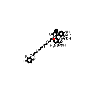 Nc1ccc2c(c1S(=O)(=O)O)Oc1c(ccc(N)c1S(=O)(=O)O)C21c2ccccc2C(=O)N1OCCOCCOCCOCCC(=O)Oc1c(F)c(F)cc(F)c1F